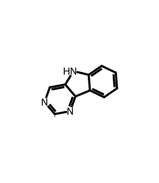 [c]1ncc2[nH]c3ccccc3c2n1